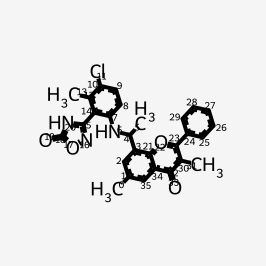 Cc1cc(C(C)Nc2ccc(Cl)c(C)c2-c2noc(=O)[nH]2)c2oc(-c3ccccc3)c(C)c(=O)c2c1